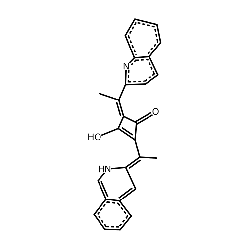 C/C(C1=C(O)/C(=C(\C)c2ccc3ccccc3n2)C1=O)=C1\C=c2ccccc2=CN1